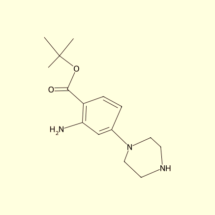 CC(C)(C)OC(=O)c1ccc(N2CCNCC2)cc1N